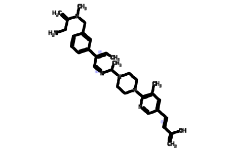 C=C(O)/C=C/c1cnc(N2CCN(C(C)/N=C\C(=C/C)c3cccc(CN(C)C(=C)CN)c3)CC2)c(C)c1